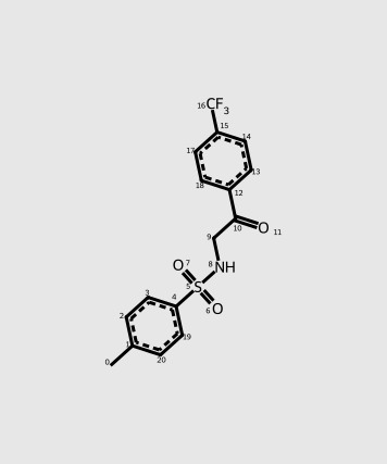 Cc1ccc(S(=O)(=O)NCC(=O)c2ccc(C(F)(F)F)cc2)cc1